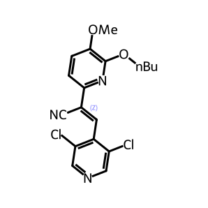 CCCCOc1nc(/C(C#N)=C/c2c(Cl)cncc2Cl)ccc1OC